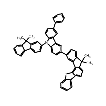 CC1(C)c2ccccc2-c2ccc(-n3c4ccc(-c5ccccc5)cc4c4cc(-c5ccc6c(c5)-c5c(ccc7c5oc5ccccc57)C6(C)C)ccc43)cc21